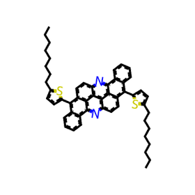 CCCCCCCCc1ccc(-c2c3ccccc3c3nc4ccc5c(-c6ccc(CCCCCCCC)s6)c6ccccc6c6nc7ccc2c3c7c4c56)s1